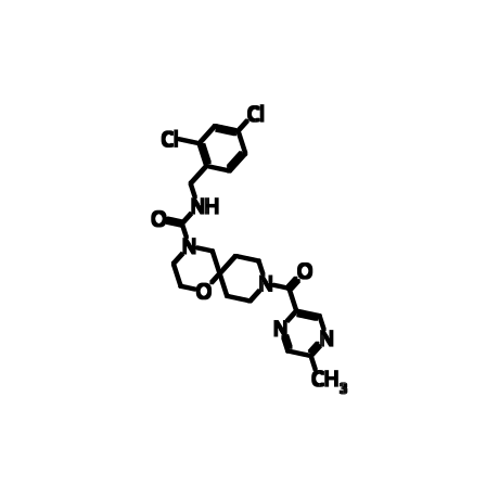 Cc1cnc(C(=O)N2CCC3(CC2)CN(C(=O)NCc2ccc(Cl)cc2Cl)CCO3)cn1